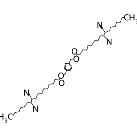 CCCCCCCC(C#N)C(C#N)CCCCCCCCC(=O)OCc1ccc(COC(=O)CCCCCCCCC(C#N)C(C#N)CCCCCCC)cc1